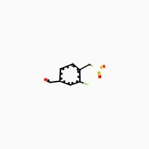 O=Cc1ccc(C[SH](=O)=O)c(F)c1